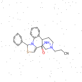 N#CCCN1CCC(c2ccccc2N2C(C(N)=O)=CSC2c2ccccc2)CC1